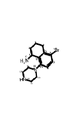 NC1CCCc2c(Br)ccc(N3CCNCC3)c21